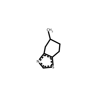 CC1CCc2s[c]nc2C1